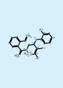 C=Cc1ccccc1C(=C)N(C)CC(Sc1ccccc1F)C(F)=C(F)F